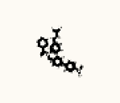 C=C(C1CCCCC1)N(Cc1ccc(-c2ccc(N(C)C)cc2)cc1)c1cccc(CC=C(C)C)c1